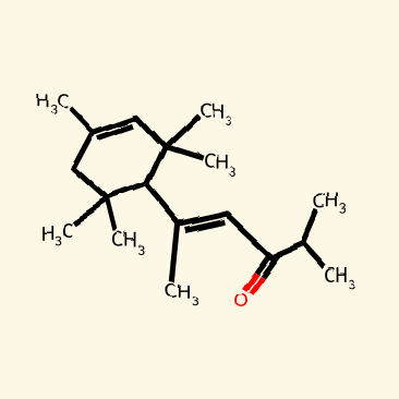 CC1=CC(C)(C)C(C(C)=CC(=O)C(C)C)C(C)(C)C1